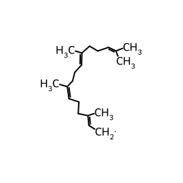 [CH2]/C=C(\C)CCC=C(C)CC/C=C(\C)CCC=C(C)C